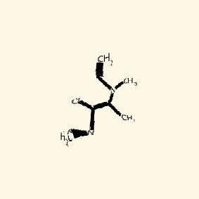 C=CN(C)/C(C)=C(\Cl)N=C